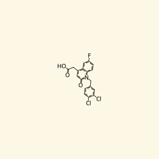 O=C(O)Cc1cc(=O)n(Cc2ccc(Cl)c(Cl)c2)c2ccc(F)cc12